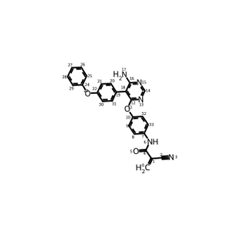 C=C(C#N)C(=O)Nc1ccc(Oc2ncnc(N)c2-c2ccc(Oc3ccccc3)cc2)cc1